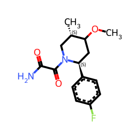 COC1C[C@@H](c2ccc(F)cc2)N(C(=O)C(N)=O)C[C@@H]1C